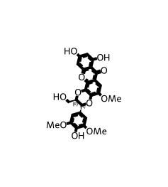 COc1cc([C@H]2Oc3c(OC)cc4c(=O)c5c(O)cc(O)cc5oc4c3O[C@@H]2CO)cc(OC)c1O